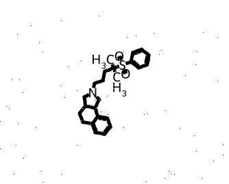 CC(C)(CCCN1CC2CCc3ccccc3C2C1)S(=O)(=O)c1ccccc1